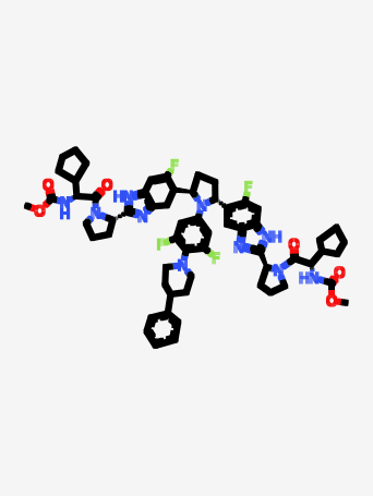 COC(=O)N[C@H](C(=O)N1CCC[C@H]1c1nc2c([nH]1)C=C(F)C([C@H]1CC[C@H](c3cc4nc([C@@H]5CCCN5C(=O)[C@@H](NC(=O)OC)C5CCCC5)[nH]c4cc3F)N1c1cc(F)c(N3CCC(c4ccccc4)CC3)c(F)c1)C2)C1CCCC1